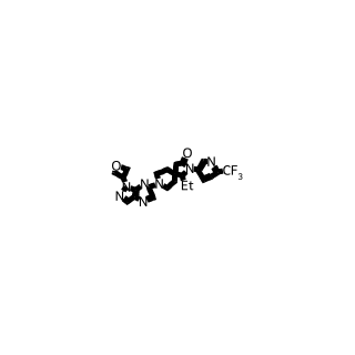 CCC1N(c2ccc(C(F)(F)F)nc2)C(=O)CC12CCN(c1cnc3cnn(C4COC4)c3n1)CC2